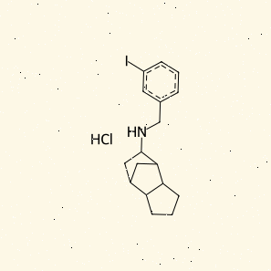 Cl.Ic1cccc(CNC2CC3CC2C2CCCC32)c1